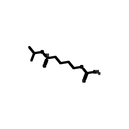 CC(C)O[PH](=O)CCCCOC(N)=O